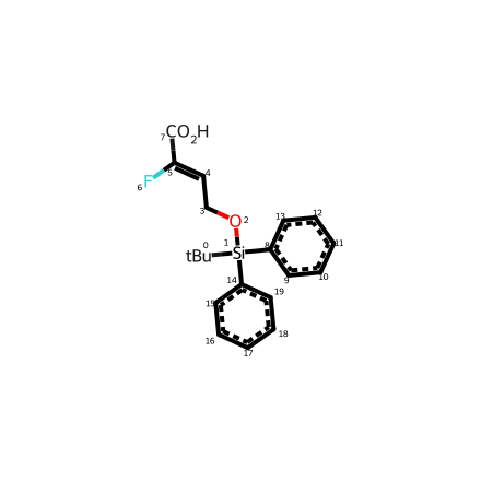 CC(C)(C)[Si](OCC=C(F)C(=O)O)(c1ccccc1)c1ccccc1